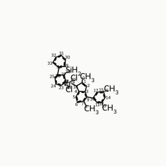 CC1=Cc2c(ccc(C)c2-c2cc(C)cc(C)c2)[CH]1[Zr]([Cl])([Cl])[c]1cccc2c1[SiH2]c1ccccc1-2